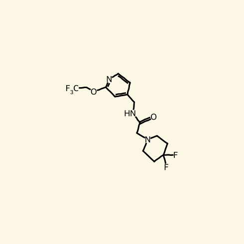 O=C(CN1CCC(F)(F)CC1)NCc1ccnc(OCC(F)(F)F)c1